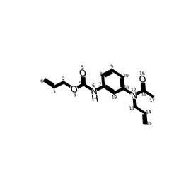 C=CCOC(=O)Nc1cccc(N(CC=C)C(C)=O)c1